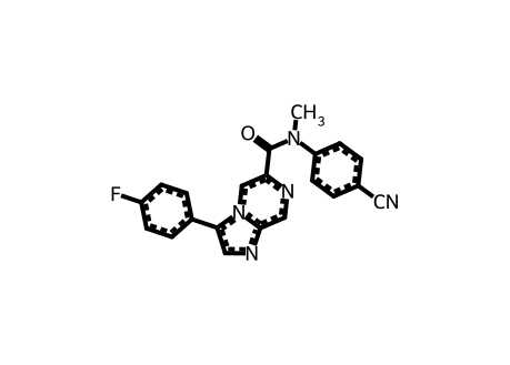 CN(C(=O)c1cn2c(-c3ccc(F)cc3)cnc2cn1)c1ccc(C#N)cc1